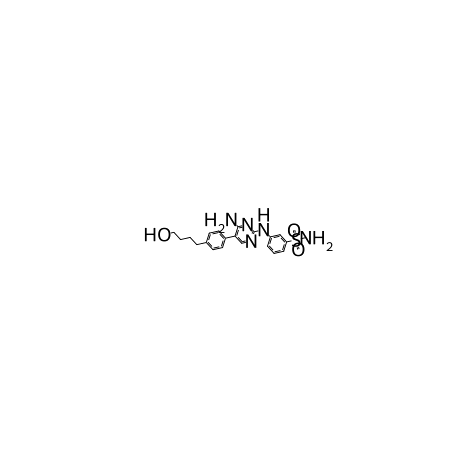 Nc1nc(Nc2cccc(S(N)(=O)=O)c2)ncc1-c1ccc(CCCCO)cc1